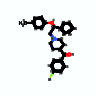 Cc1ccc(OC(CN2CCC(C(=O)c3ccc(F)cc3)CC2)c2ccccc2)cc1